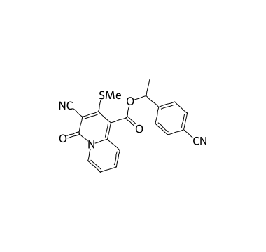 CSc1c(C#N)c(=O)n2ccccc2c1C(=O)OC(C)c1ccc(C#N)cc1